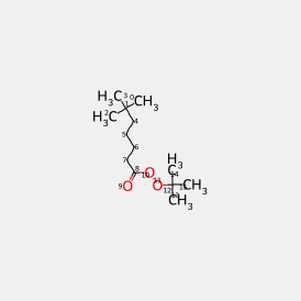 CC(C)(C)CCCCC(=O)OOC(C)(C)C